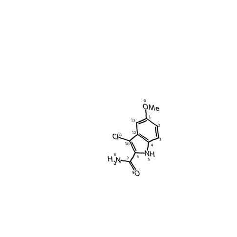 COc1ccc2[nH]c(C(N)=O)c(Cl)c2c1